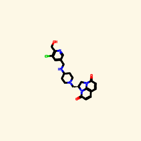 O=c1ccc2ccc(=O)n3c2n1C[C@H]3CN1CCC(NCc2cnc(CO)c(Cl)c2)CC1